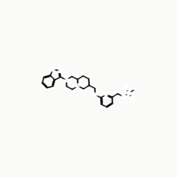 CS(=O)(=O)OCc1cccc(OCC2CCC3CN(c4noc5ccccc45)CCN3C2)n1